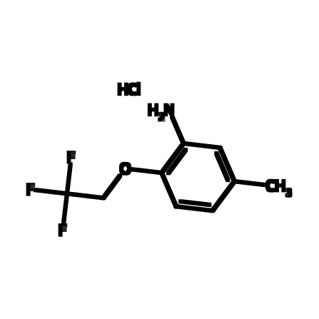 Cc1ccc(OCC(F)(F)F)c(N)c1.Cl